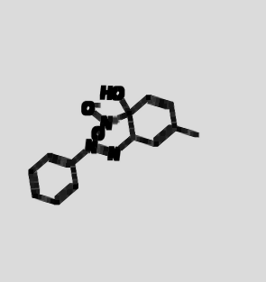 CC1=CC(N=Nc2ccccc2)C(O)([N+](=O)[O-])C=C1